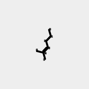 CCCC=C(C)C